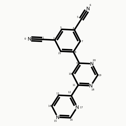 N#Cc1cc(C#N)cc(-c2cc(-c3ccncn3)ncn2)c1